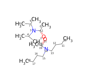 CC(=O)N(C(C)C)C(C)C.CCCCN(CCCC)C(C)=O